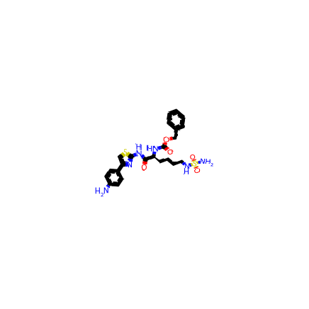 Nc1ccc(-c2csc(NC(=O)[C@H](CCCCNS(N)(=O)=O)NC(=O)OCc3ccccc3)n2)cc1